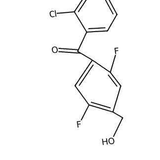 O=C(c1cc(F)c(CO)cc1F)c1ccccc1Cl